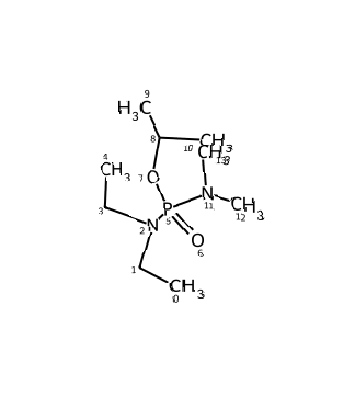 CCN(CC)P(=O)(OC(C)C)N(C)C